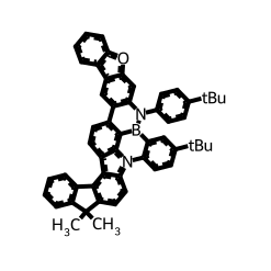 CC(C)(C)c1ccc(N2B3c4cc(C(C)(C)C)ccc4-n4c5ccc6c(c5c5ccc(c3c54)-c3cc4c(cc32)oc2ccccc24)-c2ccccc2C6(C)C)cc1